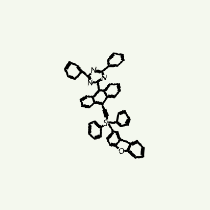 C(#C[Si](c1ccccc1)(c1ccccc1)c1ccc2oc3ccccc3c2c1)c1c2ccccc2c(-c2nc(-c3ccccc3)nc(-c3ccccc3)n2)c2ccccc12